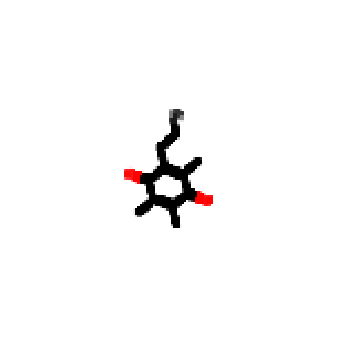 CC1=C(C)C(=O)C(CCC(C)C)=C(C)C1=O